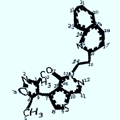 Cc1noc(C)c1-c1csc2cnn(CCc3ccc4ccccc4n3)c(=O)c12